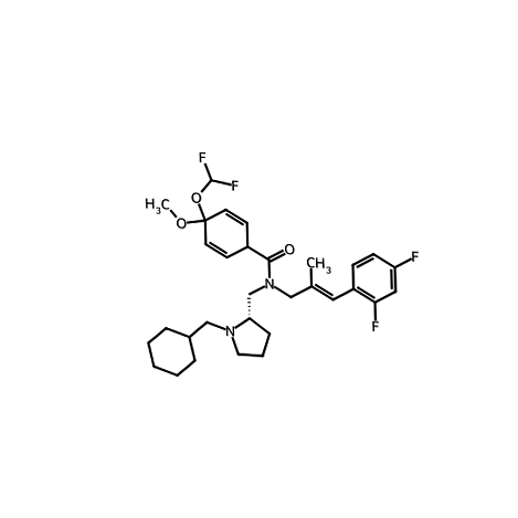 COC1(OC(F)F)C=CC(C(=O)N(C/C(C)=C/c2ccc(F)cc2F)C[C@@H]2CCCN2CC2CCCCC2)C=C1